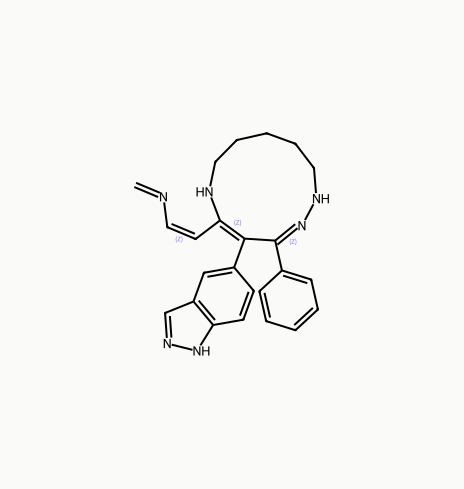 C=N\C=C/C1=C(c2ccc3[nH]ncc3c2)/C(c2ccccc2)=N\NCCCCCN1